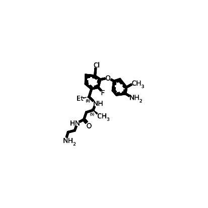 CC[C@@H](N[C@@H](C)CC(=O)NCCN)c1ccc(Cl)c(Oc2ccc(N)c(C)c2)c1F